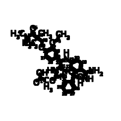 CC(=O)O.CCOc1cc(C(Nc2ccc(C(=N)N)cc2)c2nn(-c3ccccc3C(=O)O)c(=O)[nH]2)ccc1OCC(C)(C)C(=O)N(C)C